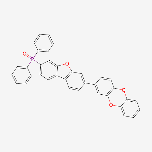 O=P(c1ccccc1)(c1ccccc1)c1ccc2c(c1)oc1cc(-c3ccc4c(c3)Oc3ccccc3O4)ccc12